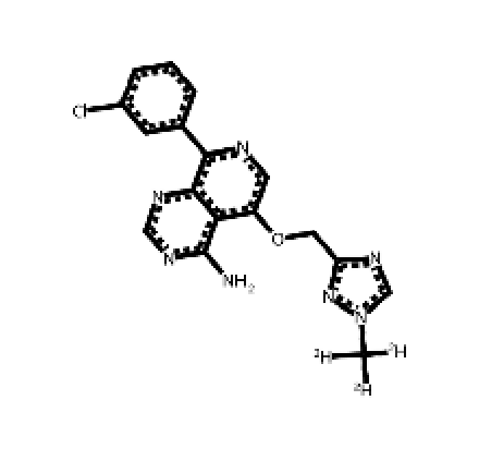 [2H]C([2H])([2H])n1cnc(COc2cnc(-c3cccc(Cl)c3)c3ncnc(N)c23)n1